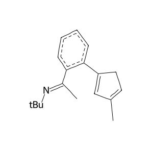 CC1=CCC(c2ccccc2/C(C)=N/C(C)(C)C)=C1